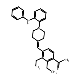 CCc1c(C=C2CCN(c3ccccc3Nc3ccccc3)CC2)ccc(C(N)=O)c1CC